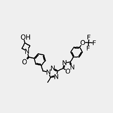 Cc1nc(-c2nc(-c3ccc(OC(F)(F)F)cc3)no2)nn1Cc1cccc(C(=O)N2CC(O)C2)c1